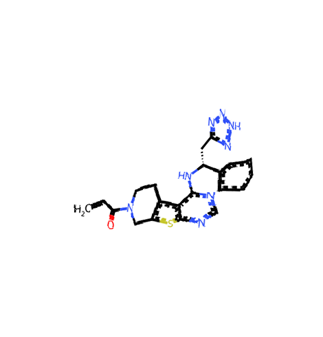 C=CC(=O)N1CCc2c(sc3ncnc(N[C@H](Cc4nn[nH]n4)c4ccccc4)c23)C1